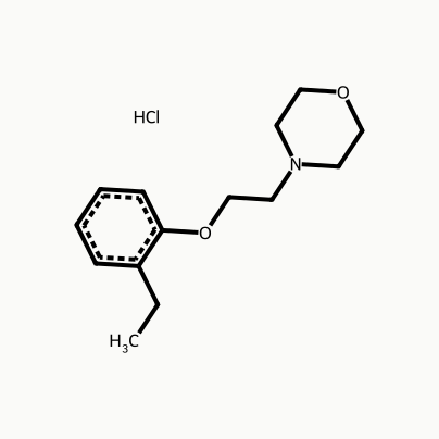 CCc1ccccc1OCCN1CCOCC1.Cl